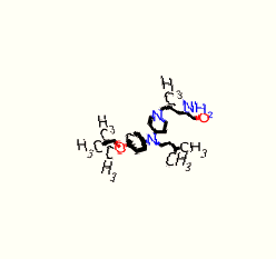 CC(C)CCN(c1ccc(OCC(C)(C)C)cc1)C1CCN(CC(C)CC(N)C=O)CC1